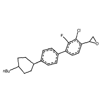 CCCCC1CCC(c2ccc(-c3ccc(C4CO4)c(Cl)c3F)cc2)CC1